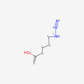 C=C(O)CCCCN[N+]#N